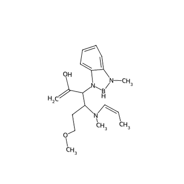 C=C(O)C(C(CCOC)N(C)/C=C\C)N1BN(C)c2ccccc21